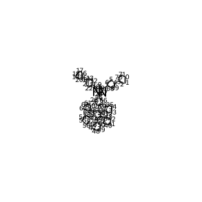 c1ccc(-c2ccc(-c3cc(-c4ccc(-c5ccccc5)cc4)nc(-c4ccc(-c5c(-c6ccccc6)c(-c6ccccc6)c(-c6ccccc6)c(-c6ccccc6)c5-c5ccccc5)cc4)n3)cc2)cc1